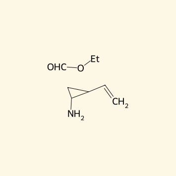 C=CC1CC1N.CCOC=O